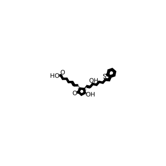 O=C(O)CCCC=CC[C@H]1C(=O)C[C@@H](O)[C@@H]1C=CC(O)CCCc1cc2ccccc2s1